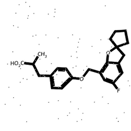 CC(Cc1ccc(OCc2cc(F)cc3c2OC2(CCCC2)C3)cc1)C(=O)O